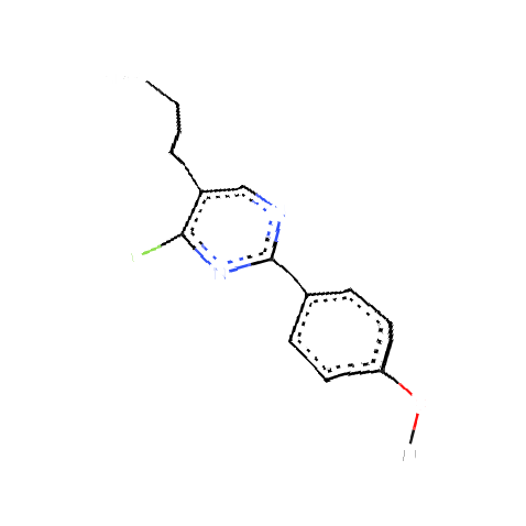 CCCCCCCCCCCCc1cnc(-c2ccc(OCC)cc2)nc1F